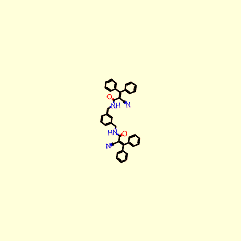 N#CC(C(=O)NCc1cccc(CNC(=O)C(C#N)=C(c2ccccc2)c2ccccc2)c1)=C(c1ccccc1)c1ccccc1